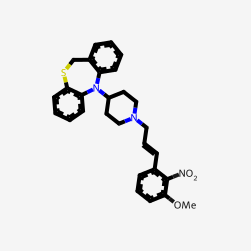 COc1cccc(C=CCN2CCC(N3c4ccccc4CSc4ccccc43)CC2)c1[N+](=O)[O-]